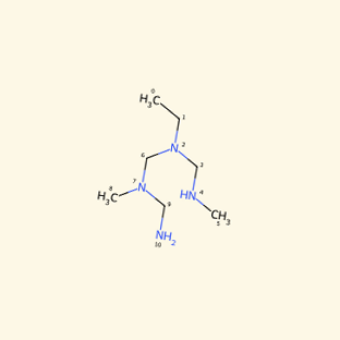 CCN(CNC)CN(C)CN